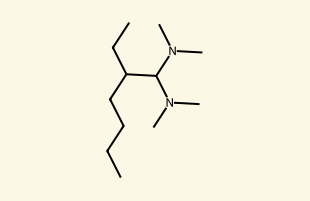 CCCCC(CC)C(N(C)C)N(C)C